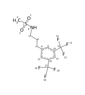 CS(=O)(=O)NCCCc1cc(C(F)(F)F)cc(C(F)(F)F)c1